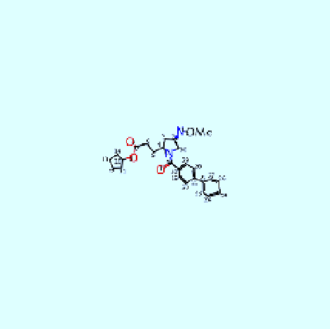 CON=C1CC(CCC(=O)OC2CCCC2)N(C(=O)c2ccc(-c3ccccc3)cc2)C1